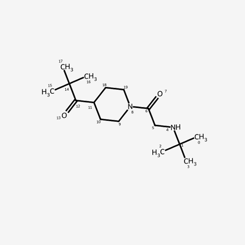 CC(C)(C)NCC(=O)N1CCC(C(=O)C(C)(C)C)CC1